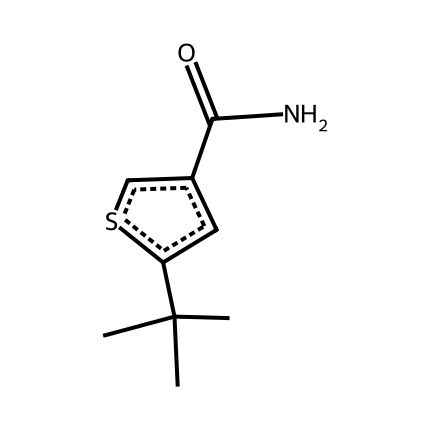 CC(C)(C)c1cc(C(N)=O)cs1